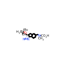 CN(Cc1ccc2c(c1)C[C@H](CO[Si](C)(C)C(C)(C)C)[C@H]2N=[N+]=[N-])C(=O)O